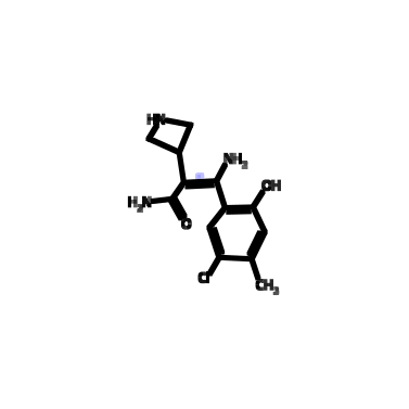 Cc1cc(O)c(/C(N)=C(\C(N)=O)C2CNC2)cc1Cl